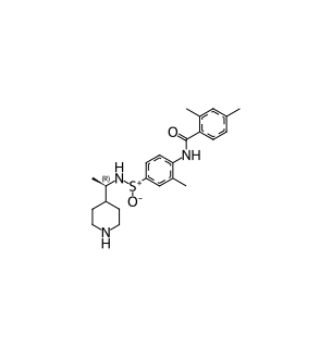 Cc1ccc(C(=O)Nc2ccc([S+]([O-])N[C@H](C)C3CCNCC3)cc2C)c(C)c1